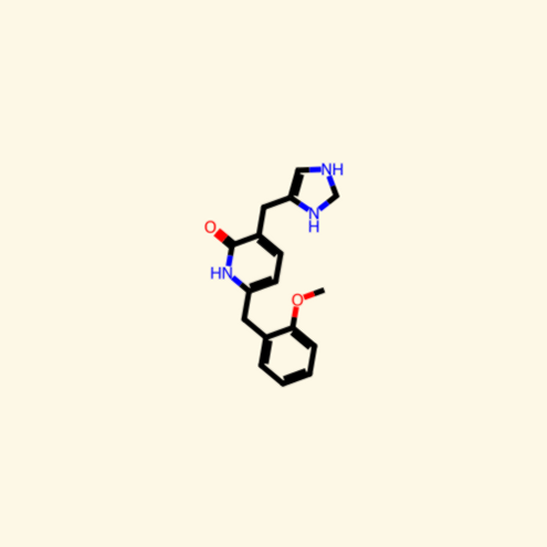 COc1ccccc1Cc1ccc(CC2=CNCN2)c(=O)[nH]1